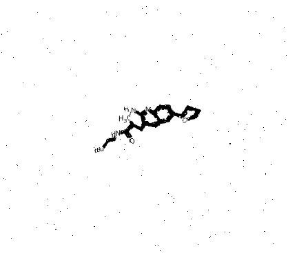 CC(Cc1cc2cc(-c3ccco3)ccc2nc1N)C(=O)NCCC(C)(C)C